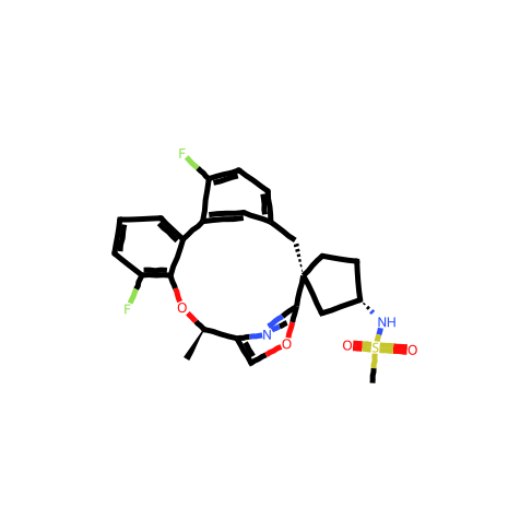 C[C@H]1Oc2c(F)cccc2-c2cc(ccc2F)C[C@@]2(CC[C@H](NS(C)(=O)=O)C2)c2nc1co2